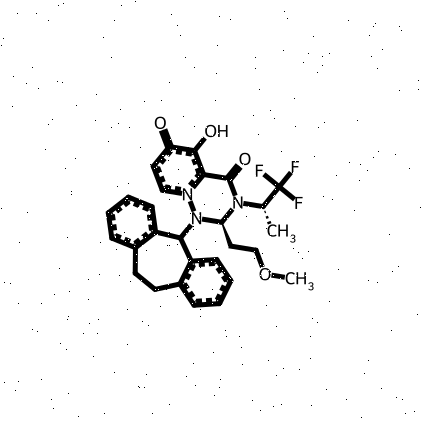 COCC[C@@H]1N([C@@H](C)C(F)(F)F)C(=O)c2c(O)c(=O)ccn2N1C1c2ccccc2CCc2ccccc21